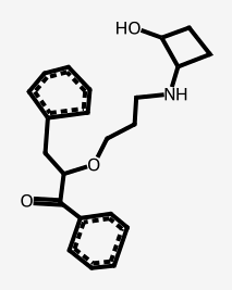 O=C(c1ccccc1)C(Cc1ccccc1)OCCCNC1CCC1O